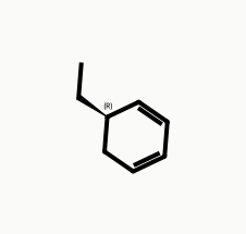 CC[C@H]1C=CC=CC1